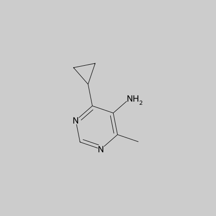 Cc1ncnc(C2CC2)c1N